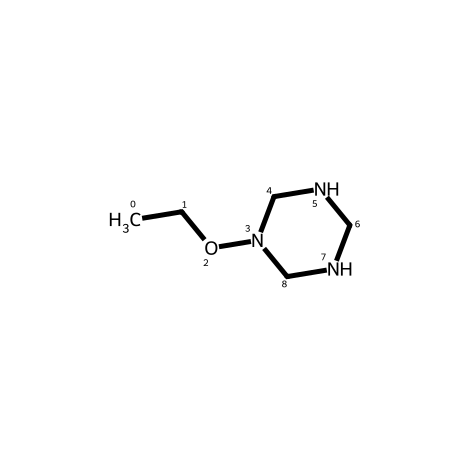 CCON1CNCNC1